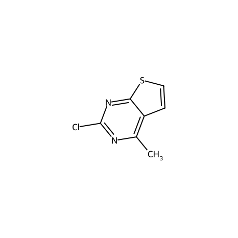 Cc1nc(Cl)nc2sccc12